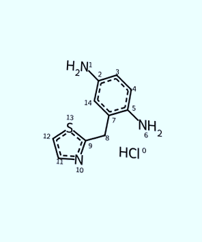 Cl.Nc1ccc(N)c(Cc2nccs2)c1